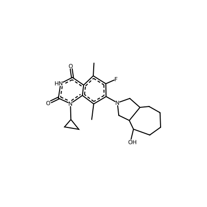 Cc1c(F)c(N2CC3CCCCC(O)C3C2)c(C)c2c1c(=O)[nH]c(=O)n2C1CC1